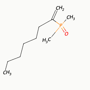 C=C(CCCCCC)P(C)(C)=O